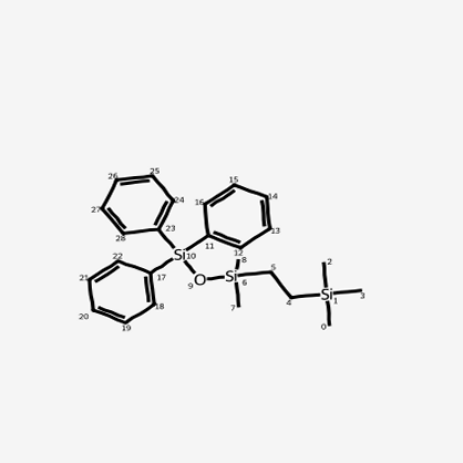 C[Si](C)(C)CC[Si](C)(C)O[Si](c1ccccc1)(c1ccccc1)c1ccccc1